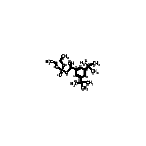 CCOP(=O)(OCC)OC(O)c1cc(C(C)(C)C)cc(C(C)(C)C)c1